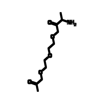 CC(=O)COCCOCCOCC(=O)C(C)N